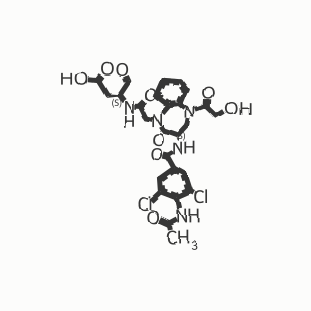 CC(=O)Nc1c(Cl)cc(C(=O)N[C@H]2CN(C(=O)CO)c3ccccc3N(CC(=O)N[C@H](C=O)CC(=O)O)C2=O)cc1Cl